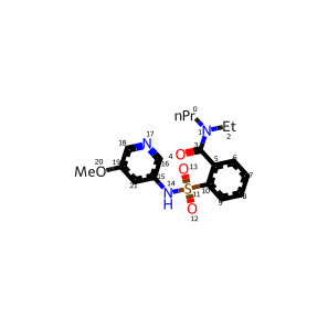 CCCN(CC)C(=O)c1ccccc1S(=O)(=O)Nc1cncc(OC)c1